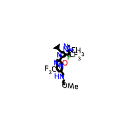 COCCNCc1cc(C(F)(F)F)c2ncc(-c3cc([C@](F)(c4nncn4C)C(F)(F)F)cc(C4CC4)n3)c(=O)n2c1